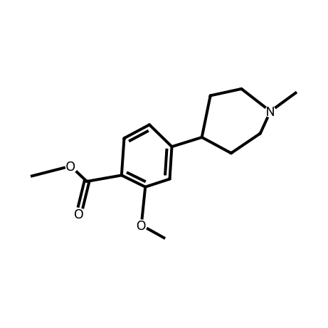 COC(=O)c1ccc(C2CCN(C)CC2)cc1OC